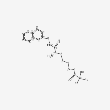 N[C@@H](CCCSCC(=O)C(F)(F)F)C(=O)NCc1cnc2ccccc2c1